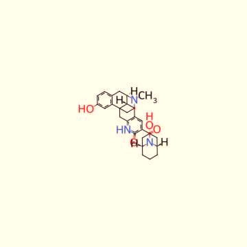 CN1CCC23Cc4[nH]c(=O)c(C(=O)N5[C@@H]6CCC[C@H]5C[C@@H](O)C6)cc4C[C@H]2[C@H]1Cc1ccc(O)cc13